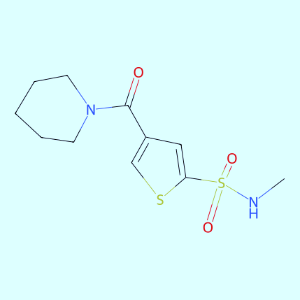 CNS(=O)(=O)c1cc(C(=O)N2CCCCC2)cs1